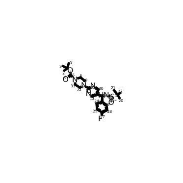 CC(C)(C)OC(=O)N1CCN(c2ncc(C(N[S@@+]([O-])C(C)(C)C)c3ccc(F)cc3)cn2)CC1